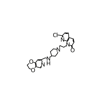 O=c1ccc2ccc(Cl)nc2n1CCN1CCC(NCc2cc3c(cn2)OCCO3)CC1